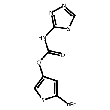 CCCc1cc(OC(=O)Nc2nncs2)cs1